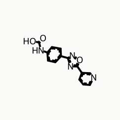 O=C(O)Nc1ccc(-c2noc(-c3cccnc3)n2)cc1